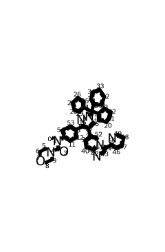 CN(C(=O)N1CCOCC1)c1ccc(-c2nn(C(c3ccccc3)(c3ccccc3)c3ccccc3)cc2-c2ccc3ncc(-c4ccccn4)n3c2)cc1